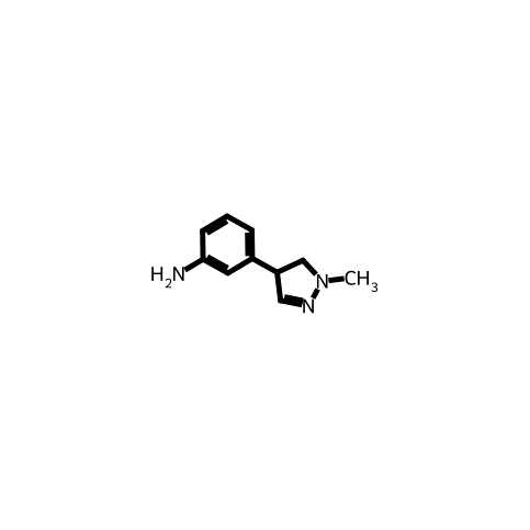 CN1CC(c2cccc(N)c2)C=N1